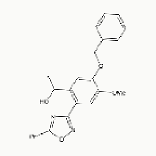 COc1cc(-c2noc(C(C)C)n2)c(C(C)O)cc1OCc1ccccc1